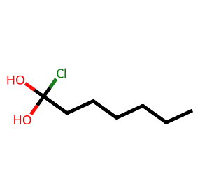 CCCCCCC(O)(O)Cl